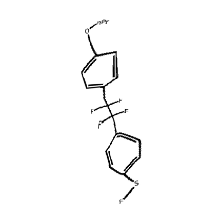 CCCOc1ccc(C(F)(F)C(F)(F)c2ccc(SF)cc2)cc1